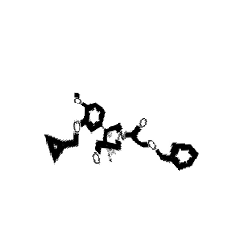 COc1ccc([C@@H]2CN(C(=O)COCc3ccccc3)C[C@@]2(C)C=O)cc1OCC1CC1